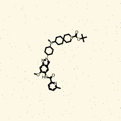 COc1cc2nn([C@H]3CC[C@H](N(C)C4CCC5(CC4)CCN(C(=O)OC(C)(C)C)CC5)CC3)cc2cc1NC(=O)c1cccc(C)n1